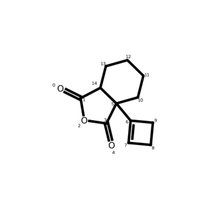 O=C1OC(=O)C2(C3=CCC3)CCCCC12